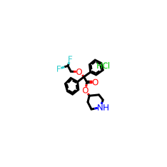 Cl.O=C(OC1CCNCC1)C(OCC(F)F)(c1ccccc1)c1ccccc1